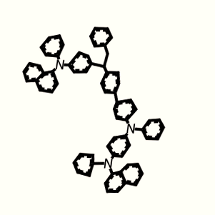 c1ccc(CC(c2ccc(-c3ccc(N(c4ccccc4)c4ccc(N(c5ccccc5)c5cccc6ccccc56)cc4)cc3)cc2)c2ccc(N(c3ccccc3)c3cccc4ccccc34)cc2)cc1